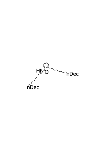 CCCCCCCCCCCCCCCCCCNC(=O)c1ccccc1CCCCCCCCCCCCCCCCCC